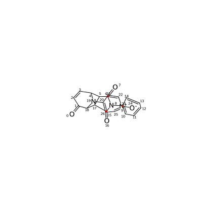 O=C1C=CC2C3C(=O)N(c4ccccc4)C(=O)C3C1N2c1cc[n+]([O-])cc1